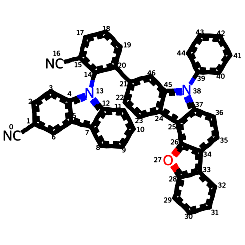 N#Cc1ccc2c(c1)c1ccccc1n2-c1c(C#N)cccc1-c1ccc2c3c4oc5ccccc5c4ccc3n(-c3ccccc3)c2c1